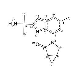 Cc1cc(N2CC3CC3C2=O)c2nc(C(C)(C)N)cn2c1